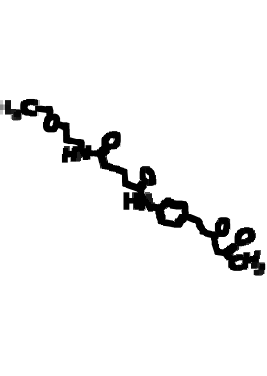 CCOCCCNC(=O)CCCC(=O)Nc1ccc(CCC(=O)CC(C)=O)cc1